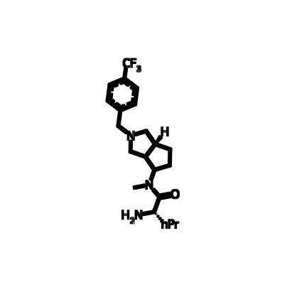 CCC[C@H](N)C(=O)N(C)C1CC[C@H]2CN(Cc3ccc(C(F)(F)F)cc3)CC12